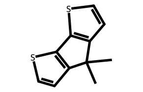 CC1(C)c2ccsc2-c2sccc21